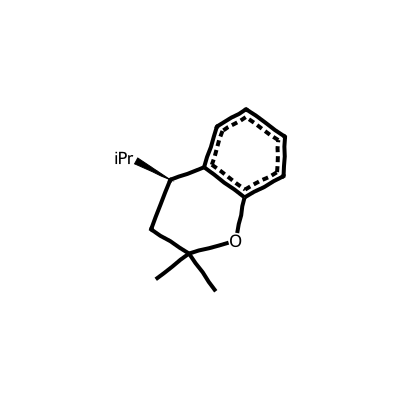 CC(C)[C@@H]1CC(C)(C)Oc2ccccc21